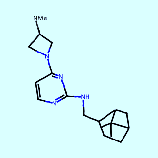 CNC1CN(c2ccnc(NCC3CCC4CC3C4(C)C)n2)C1